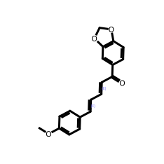 COc1ccc(/C=C/C=C/C(=O)c2ccc3c(c2)OCO3)cc1